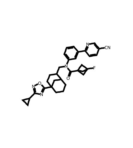 N#Cc1ccc(-c2cccc(N(CC3CCC4(c5nc(C6CC6)no5)CCCC3C4)C(=O)C34CC(F)(C3)C4)c2)nc1